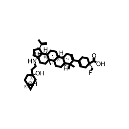 C=C(C)[C@@H]1CC[C@]2(NCC[C@]3(O)CC[C@@]4(O)CC4C3)CC[C@]3(C)[C@H](CC[C@@H]4[C@@]5(C)CC=C(C6=CC[C@](CF)(C(=O)O)CC6)C(C)(C)[C@@H]5CC[C@]43C)[C@@H]12